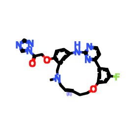 CN1C/C=C/CCOc2cc(F)cc(c2)-c2ccnc(n2)Nc2ccc(OCC(=O)n3cncn3)c(c2)C1